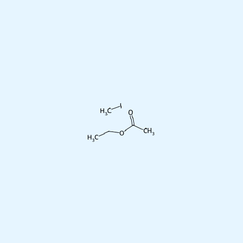 CCOC(C)=O.CI